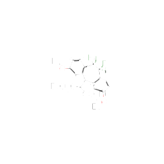 CCOC(=O)C(C(=O)OCC)C1c2cc(OCC)ccc2C(F)(F)C(F)(F)c2ccc(OCC)cc21